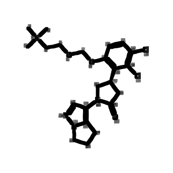 C[Si](C)(C)CCOCOc1ccc(Cl)c(Cl)c1[C@H]1CC(=O)N(c2cnn3c2CCC3)C1